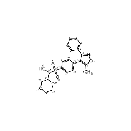 Cc1onc(-c2ccccc2)c1-c1ccc(S(=O)(=O)N(O)C2COCCO2)cc1